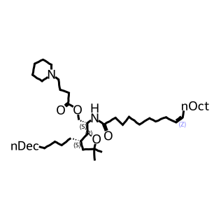 CCCCCCCC/C=C\CCCCCCCC(=O)N[C@@H](COC(=O)CCCN1CCCCC1)[C@@H]1OC(C)(C)C[C@@H]1CCCCCCCCCCCCCC